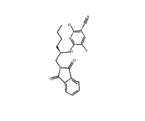 CCCC[C@H](CN1C(=O)c2ccccc2C1=O)Nc1nc(Cl)c(C#N)cc1F